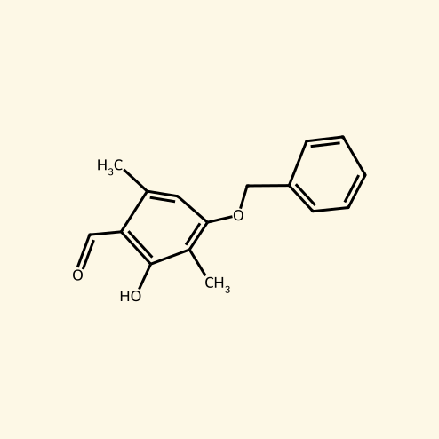 Cc1cc(OCc2ccccc2)c(C)c(O)c1C=O